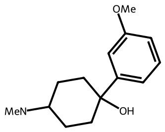 CNC1CCC(O)(c2cccc(OC)c2)CC1